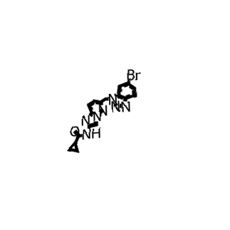 O=C(Nc1cn2nc(Cn3nnc4ccc(Br)cc43)ccc2n1)C1CC1